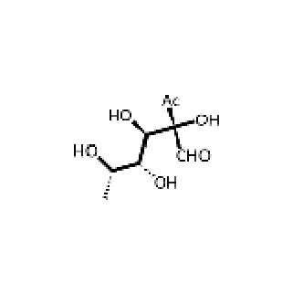 CC(=O)[C@@](O)(C=O)[C@H](O)[C@H](O)[C@H](C)O